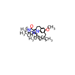 CCC(C)c1nc(C(=O)N(C)C(C)(C)C)c2n1-c1cc(CC(C)C)c(OC)cc1CC2